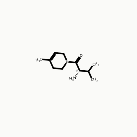 CC1=CCN(C(=O)[C@@H](N)C(C)C)CC1